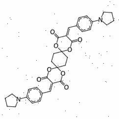 O=C1OC2(CCC3(CC2)OC(=O)C(=Cc2ccc(N4CCCC4)cc2)C(=O)O3)OC(=O)C1=Cc1ccc(N2CCCC2)cc1